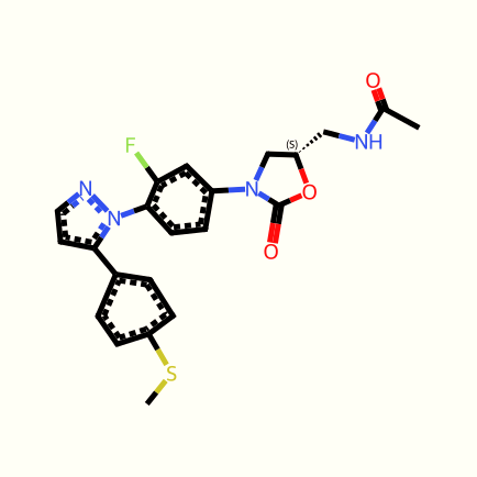 CSc1ccc(-c2ccnn2-c2ccc(N3C[C@H](CNC(C)=O)OC3=O)cc2F)cc1